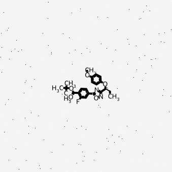 CC[C@H](Oc1ccc(OC)cc1)c1noc(-c2ccc(C(=O)OC(C)(C)C)c(F)c2)n1